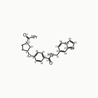 CC(C)C(=O)N1CC[C@H](Oc2ccc(C(=O)NCc3ccn4ccnc4c3)cc2)C1